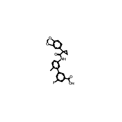 Cc1ccc(NC(=O)C2(c3ccc4c(c3)OCO4)CC2)cc1-c1cc(F)cc(C(=O)O)c1